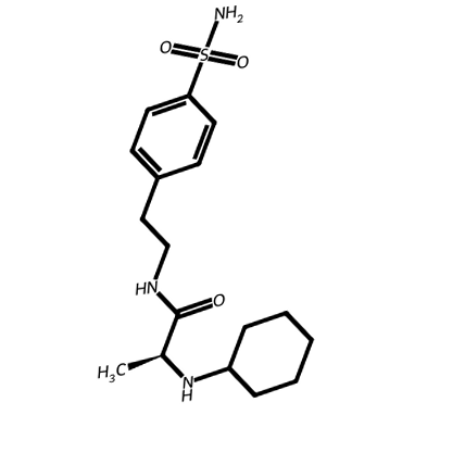 C[C@H](NC1CCCCC1)C(=O)NCCc1ccc(S(N)(=O)=O)cc1